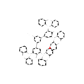 Cc1c(N2c3ccccc3Sc3ccccc32)cc(-c2cc(C#N)cc(-c3cc(N4c5ccccc5Sc5ccccc54)c(C)c(N4c5ccccc5Sc5ccccc54)c3)c2)cc1N1c2ccccc2Sc2ccccc21